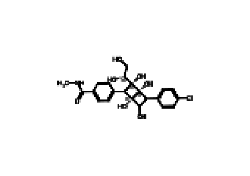 CNC(=O)c1ccc(C2[C@]3(O)C(O)C(c4ccc(Cl)cc4)[C@]3(O)[C@]2(O)[C@H](O)CO)cc1